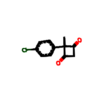 CC1(c2ccc(Cl)cc2)C(=O)CC1=O